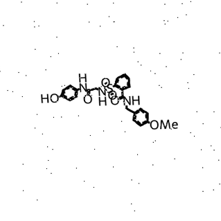 COc1ccc(CNC(=O)c2ccccc2S(=O)(=O)NCC(=O)Nc2ccc(O)cc2)cc1